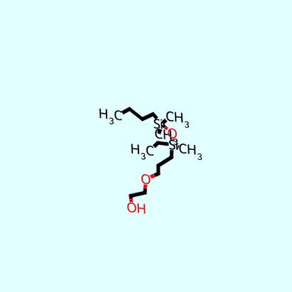 CCCC[Si](C)(C)O[Si](C)(CC)CCCOCCO